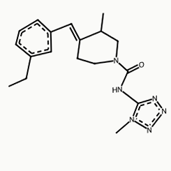 CCc1cccc(C=C2CCN(C(=O)Nc3nnnn3C)CC2C)c1